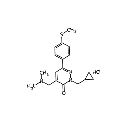 CSc1ccc(-c2cc(CN(C)C)c(=O)n(CC3CC3)n2)cc1.Cl